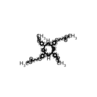 CCOOc1ccc(-c2c3nc(c(-c4ccc(OCCCCC(=O)OCC)cc4)c4ccc([nH]4)c(-c4ccc(OOCC)cc4)c4nc(c(-c5ccc(OCCCCC(=O)OCC)cc5)c5ccc2[nH]5)C=C4)C=C3)cc1